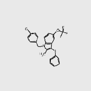 Cc1c(Sc2ccccc2)c2cc(OC(F)(F)F)ccc2n1Cc1ccc(Cl)cc1